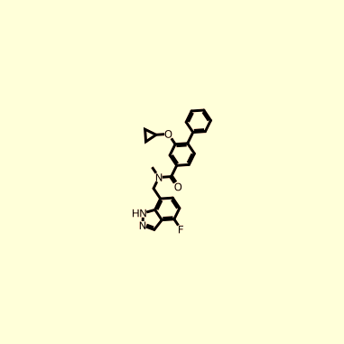 CN(Cc1ccc(F)c2cn[nH]c12)C(=O)c1ccc(-c2ccccc2)c(OC2CC2)c1